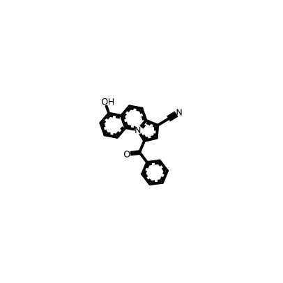 N#Cc1cc(C(=O)c2ccccc2)n2c1ccc1c(O)cccc12